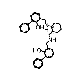 Oc1c(CNC[C@@H]2CCCC[C@@H]2NCc2cccc(-c3ccccc3)c2O)cccc1-c1ccccc1